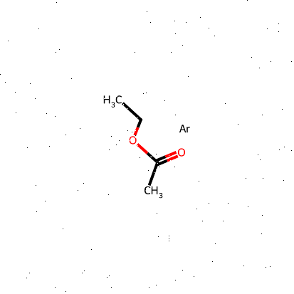 CCOC(C)=O.[Ar]